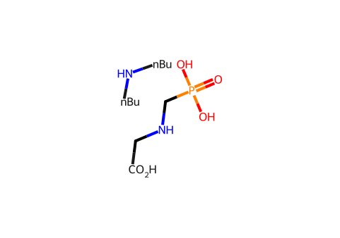 CCCCNCCCC.O=C(O)CNCP(=O)(O)O